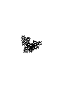 c1ccc(-c2c3ccccc3c(-c3cc4cc(-c5c6ccccc6c(-c6ccccc6)c6ccccc56)c5oc6cc7ccccc7cc6c5c4c4c3oc3ccccc34)c3ccccc23)cc1